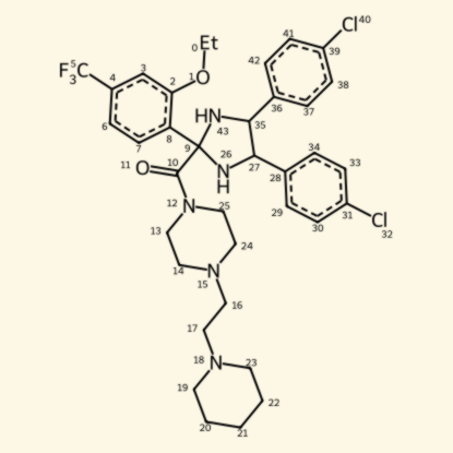 CCOc1cc(C(F)(F)F)ccc1C1(C(=O)N2CCN(CCN3CCCCC3)CC2)NC(c2ccc(Cl)cc2)C(c2ccc(Cl)cc2)N1